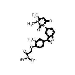 Cc1cc(-c2nsc3ccc(-n4c(=O)cc(C(F)(F)F)n(C)c4=O)cc23)ccc1OCC(=O)N(C(C)C)C(C)C